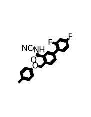 Cc1ccc(OCc2ccc(-c3ccc(F)cc3F)cc2C(=O)NC#N)cc1